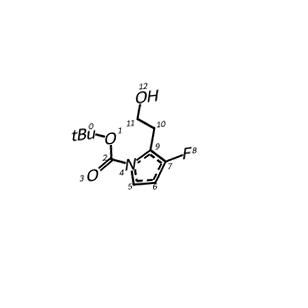 CC(C)(C)OC(=O)n1ccc(F)c1CCO